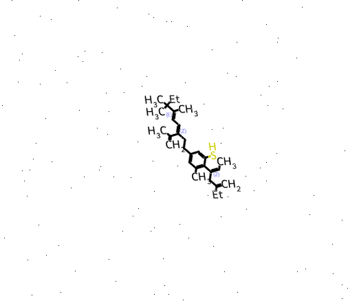 C=C(CC)C/C(=C/C)c1c(C)cc(CC/C(=C/C=C(\C)C(C)(C)CC)C(=C)C)cc1S